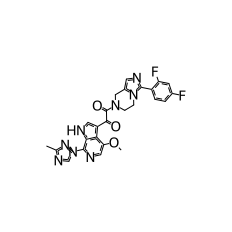 COc1cnc(-n2cnc(C)n2)c2[nH]cc(C(=O)C(=O)N3CCn4c(cnc4-c4ccc(F)cc4F)C3)c12